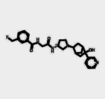 O=C(CNC(=O)c1cccc(CF)c1)N[C@@H]1CCN(C2CC3CC2CC3(O)c2cccnc2)C1